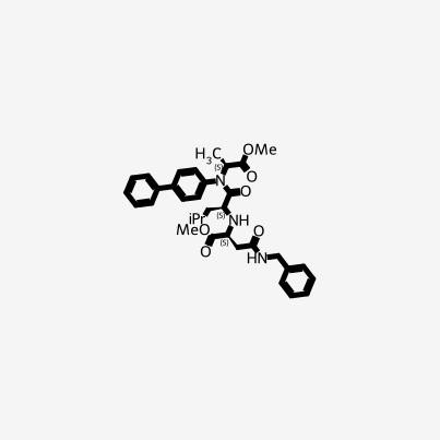 COC(=O)[C@H](CC(=O)NCc1ccccc1)N[C@@H](CC(C)C)C(=O)N(c1ccc(-c2ccccc2)cc1)[C@@H](C)C(=O)OC